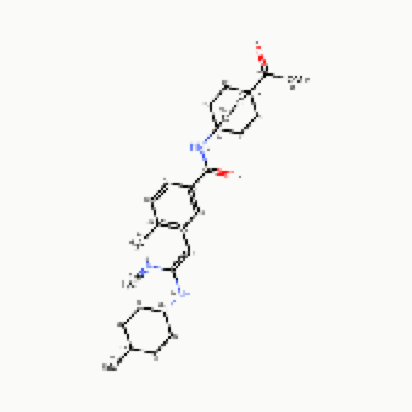 C=N/C(=C\c1cc(C(=O)NC23CCC(C(=O)OC)(CC2)CC3)ccc1C)N[C@H]1CC[C@H](C(C)(C)C)CC1